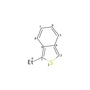 CCc1s[c]c2ccccc12